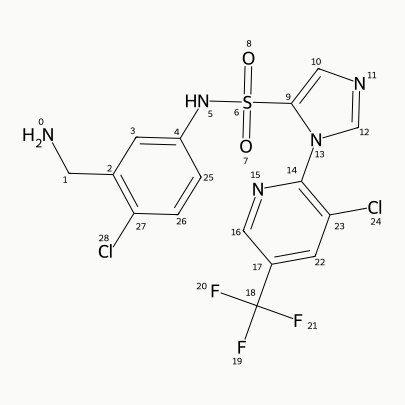 NCc1cc(NS(=O)(=O)c2cncn2-c2ncc(C(F)(F)F)cc2Cl)ccc1Cl